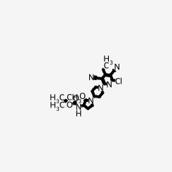 CCc1c(C#N)c(Cl)nc(N2CCC(N3CCC(NC(=O)OC(C)(C)C)C3=O)CC2)c1C#N